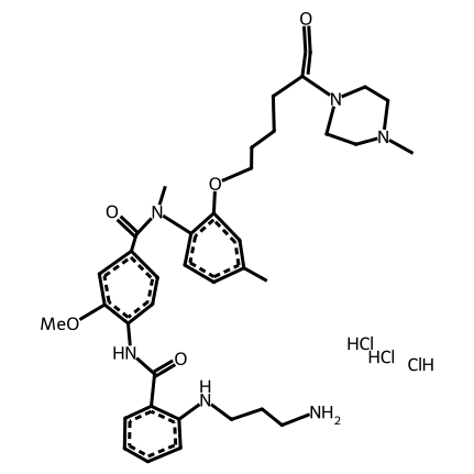 COc1cc(C(=O)N(C)c2ccc(C)cc2OCCCCC(=C=O)N2CCN(C)CC2)ccc1NC(=O)c1ccccc1NCCCN.Cl.Cl.Cl